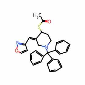 CC(=O)SC1CCN(C(c2ccccc2)(c2ccccc2)c2ccccc2)C/C1=C\c1ccon1